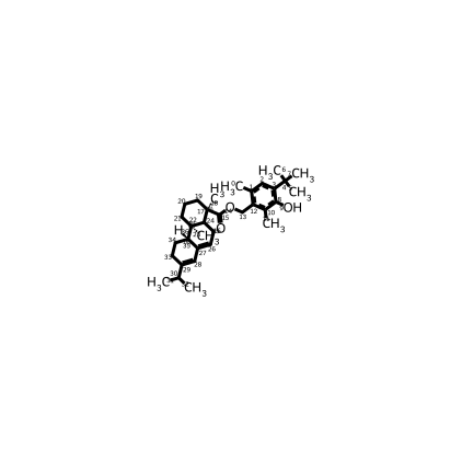 Cc1cc(C(C)(C)C)c(O)c(C)c1COC(=O)[C@]1(C)CCC[C@@]2(C)C1CC=C1C=C(C(C)C)CC[C@@H]12